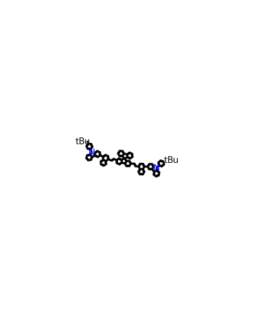 CC(C)(C)c1ccc(-n2c3ccccc3c3cc(-c4ccc(/C=C/c5ccc6c(c5)C5(c7ccccc7-c7ccccc75)c5cc(/C=C/c7ccc(-c8ccc9c(c8)c8ccccc8n9-c8ccc(C(C)(C)C)cc8)c8ccccc78)ccc5-6)c5ccccc45)ccc32)cc1